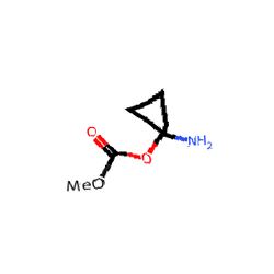 COC(=O)OC1(N)CC1